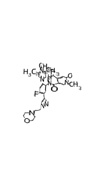 C[C@@H]1CN(c2cc(F)c(-c3cnn(CCN4CCOCC4)c3)cc2NC(=O)c2cn(C)c(=O)cc2C(F)F)C[C@H](C)N1C